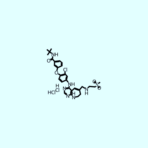 CC(C)(C)NC(=O)c1cccc(Oc2ccc(Nc3ncnc4c3C=C(CNCCS(C)(=O)=O)CCN4)cc2Cl)c1.Cl.Cl